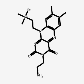 CC[N+](C)(C)CCn1c2nc(=O)n(CCN)c(=O)c-2nc2cc(C)c(C)cc21